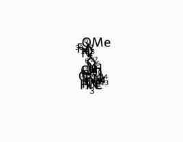 COc1ccc(C2CCN(C(=O)c3c(C)oc4ncnc(NC5(C)CC5)c34)CC2)nc1F